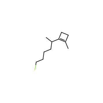 CC1=C(C(C)CCCCF)CC1